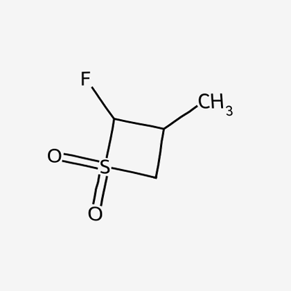 CC1CS(=O)(=O)C1F